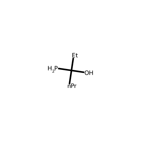 CCCC(O)(P)CC